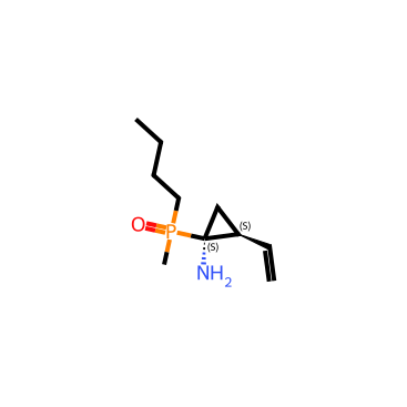 C=C[C@@H]1C[C@]1(N)P(C)(=O)CCCC